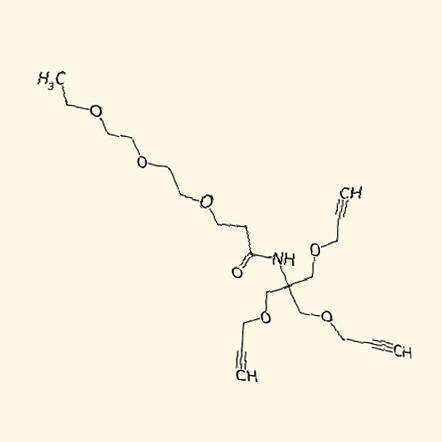 C#CCOCC(COCC#C)(COCC#C)NC(=O)CCOCCOCCOCC